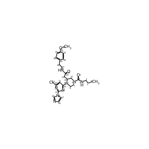 CCCNC(=O)N1CCN(c2cc(Cl)nc(-n3ccnc3)n2)C(CC(=O)NCCc2ccc(OC)cc2)C1